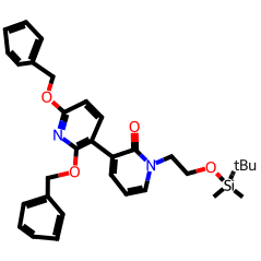 CC(C)(C)[Si](C)(C)OCCn1cccc(-c2ccc(OCc3ccccc3)nc2OCc2ccccc2)c1=O